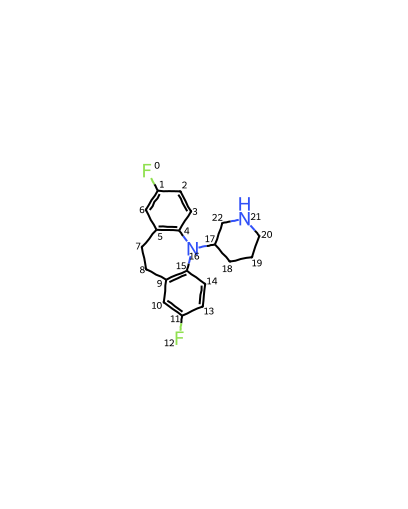 Fc1ccc2c(c1)CCc1cc(F)ccc1N2C1CCCNC1